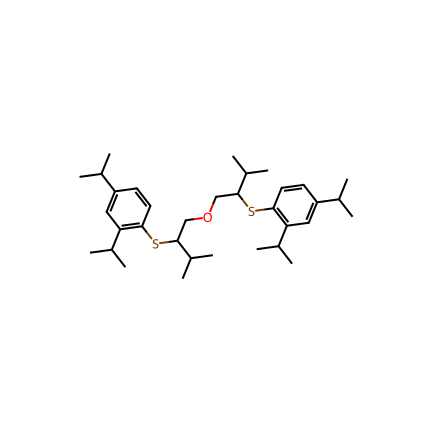 CC(C)c1ccc(SC(COCC(Sc2ccc(C(C)C)cc2C(C)C)C(C)C)C(C)C)c(C(C)C)c1